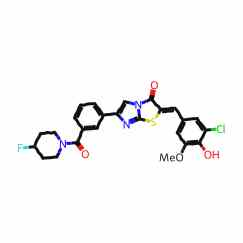 COc1cc(/C=c2\sc3nc(-c4cccc(C(=O)N5CCC(F)CC5)c4)cn3c2=O)cc(Cl)c1O